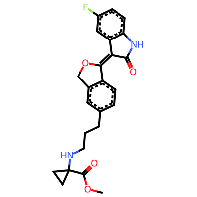 COC(=O)C1(NCCCc2ccc3c(c2)COC3=C2C(=O)Nc3ccc(F)cc32)CC1